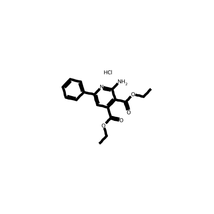 CCOC(=O)c1cc(-c2ccccc2)nc(N)c1C(=O)OCC.Cl